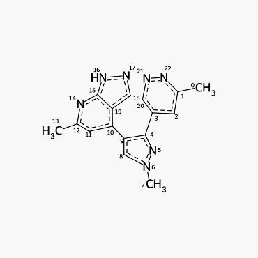 Cc1cc(-c2nn(C)cc2-c2cc(C)nc3[nH]ncc23)cnn1